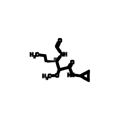 CCC[C@H](NC=O)C(OC)C(=O)NC1CC1